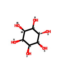 OC1[C@H](O)[C@@H](O)[C@@H](O)[C@@H](O)[C@H]1O